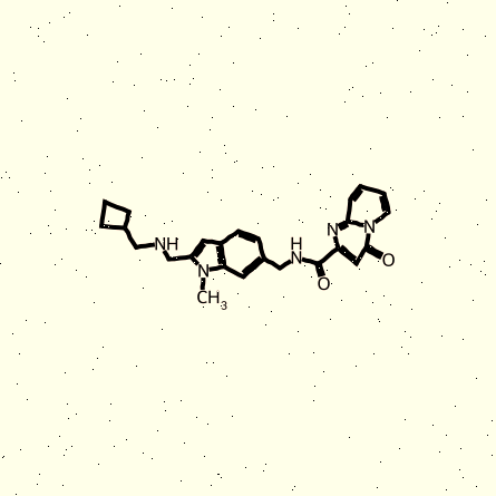 Cn1c(CNCC2CCC2)cc2ccc(CNC(=O)c3cc(=O)n4ccccc4n3)cc21